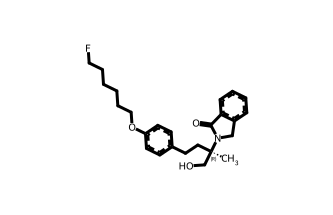 C[C@](CO)(CCc1ccc(OCCCCCCF)cc1)N1Cc2ccccc2C1=O